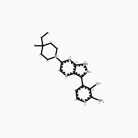 CCC1(C)CCN(c2cnc3c(-c4ccnc(N)c4Cl)n[nH]c3n2)CC1